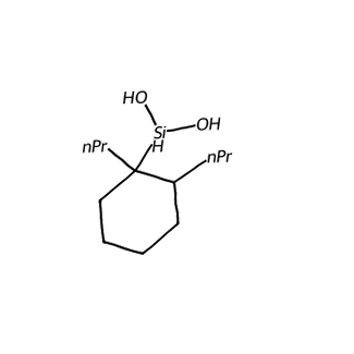 CCCC1CCCCC1(CCC)[SiH](O)O